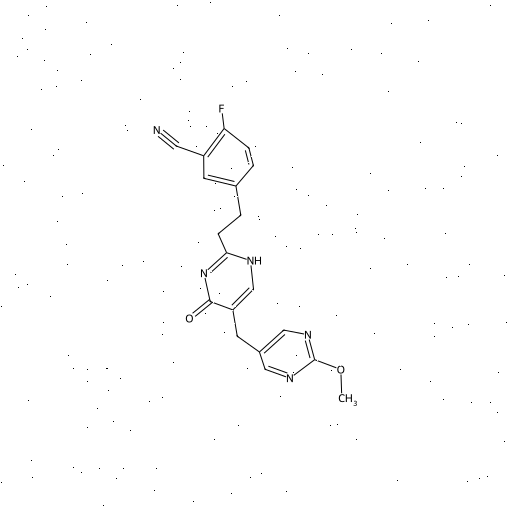 COc1ncc(Cc2c[nH]c(CCc3ccc(F)c(C#N)c3)nc2=O)cn1